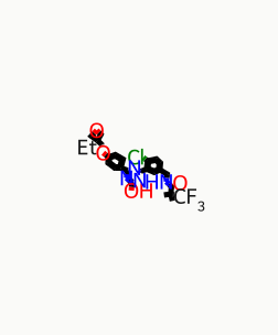 CCC1(COc2ccc(-c3nc(O)nc(-c4cc(CNC(=O)C(C)(C)C(F)(F)F)ccc4Cl)n3)cc2)COC1